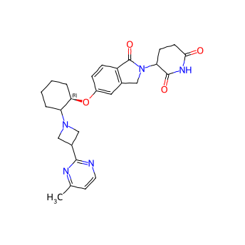 Cc1ccnc(C2CN(C3CCCC[C@H]3Oc3ccc4c(c3)CN(C3CCC(=O)NC3=O)C4=O)C2)n1